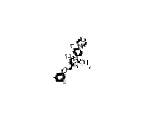 Cc1nc(COc2cccc(F)c2)cc(=O)n1-c1ccc(N2CCOCC2)c(F)c1